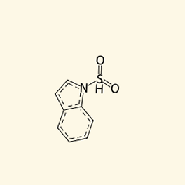 O=[SH](=O)n1ccc2ccccc21